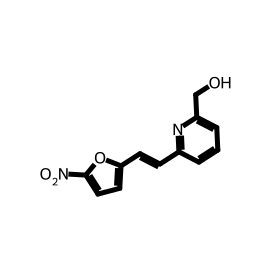 O=[N+]([O-])c1ccc(C=Cc2cccc(CO)n2)o1